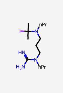 CCCN(CCCN(CCC)C(C)(C)I)C(=N)N